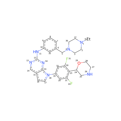 CCN1CCN(Cc2cccc(Nc3ncc4ccn(-c5cc(F)c(C6CNCCO6)c(F)c5)c4n3)c2)CC1